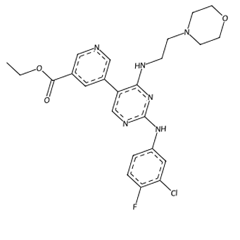 CCOC(=O)c1cncc(-c2cnc(Nc3ccc(F)c(Cl)c3)nc2NCCN2CCOCC2)c1